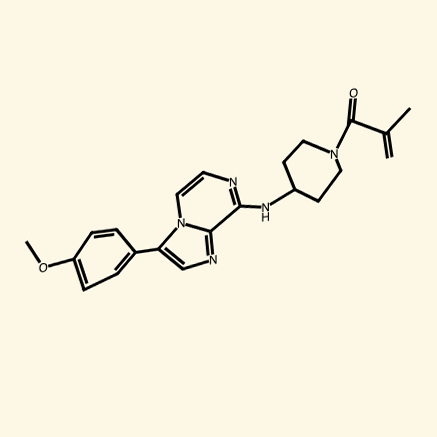 C=C(C)C(=O)N1CCC(Nc2nccn3c(-c4ccc(OC)cc4)cnc23)CC1